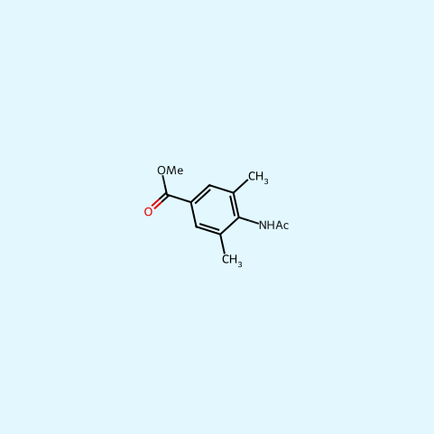 COC(=O)c1cc(C)c(NC(C)=O)c(C)c1